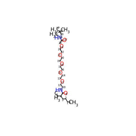 CCCCC(CC)C(=O)NCCOCCOCCOCCOCCOCC(=O)NCC(C)(C)C